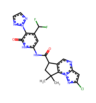 CC1(C)CC(C(=O)Nc2cc(C(F)F)c(-n3nccn3)c(=O)[nH]2)c2cnc3cc(Cl)nn3c21